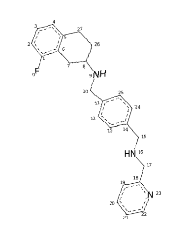 Fc1cccc2c1CC(NCc1ccc(CNCc3ccccn3)cc1)CC2